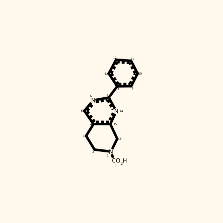 O=C(O)N1CCc2cnc(-c3ccccc3)nc2C1